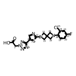 O=C(O)Cn1nnc(-c2cnc(N3CC4(C3)CN(c3ccc(F)cc3Cl)C4)s2)n1